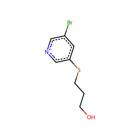 OCCCSc1cncc(Br)c1